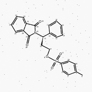 Cc1ccc(S(=O)(=O)OCC[C@H](c2ccccc2)N2C(=O)c3ccccc3C2=O)cc1